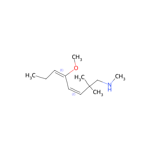 CC/C=C(\C=C/C(C)(C)CNC)OC